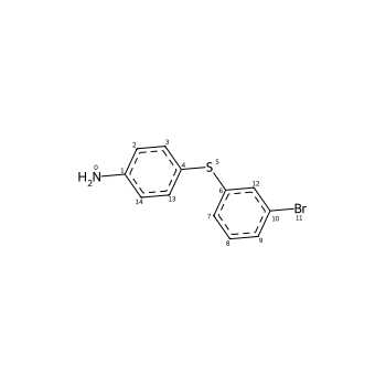 Nc1ccc(Sc2cccc(Br)c2)cc1